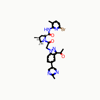 CC(=O)c1nn(CC(=O)N2[C@H](C)[C@@H](C)C[C@H]2C(=O)Nc2nc(Br)ccc2C)c2ccc(-c3cnc(C)nc3)cc12